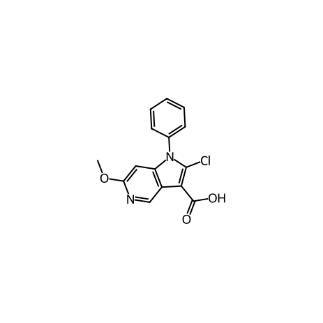 COc1cc2c(cn1)c(C(=O)O)c(Cl)n2-c1ccccc1